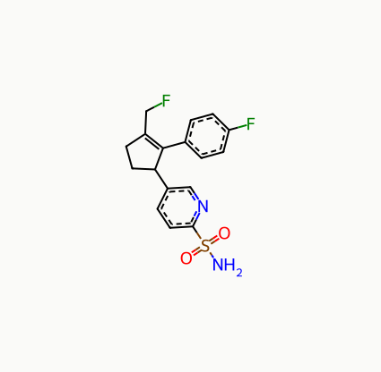 NS(=O)(=O)c1ccc(C2CCC(CF)=C2c2ccc(F)cc2)cn1